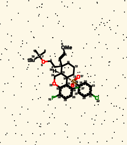 COC=C[C@]1(CCO[Si](C)(C)C(C)(C)C)CCC[C@@]2(S(=O)(=O)c3ccc(Cl)cc3)c3c(F)ccc(F)c3OC[C@@H]12